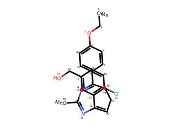 COCOc1ccc(/C2=N/C(OC)=N\C(c3cc(CO)ccc3Cl)=C\CC2)cc1